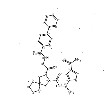 C[C@@H](NC(=O)[C@@H]1CC2(CN1C(=O)CNC(=O)c1ccc(-c3ccccc3)cc1)OCCO2)c1cc(C(=N)N)cs1